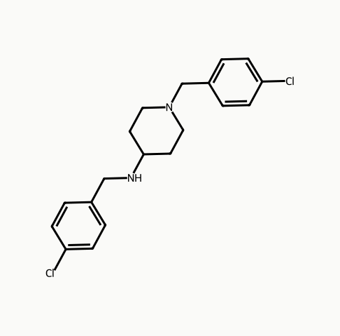 Clc1ccc(CNC2CCN(Cc3ccc(Cl)cc3)CC2)cc1